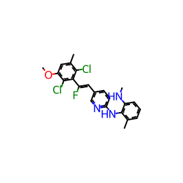 CNc1cccc(C)c1Nc1ccc(/C=C(\F)c2c(Cl)c(C)cc(OC)c2Cl)cn1